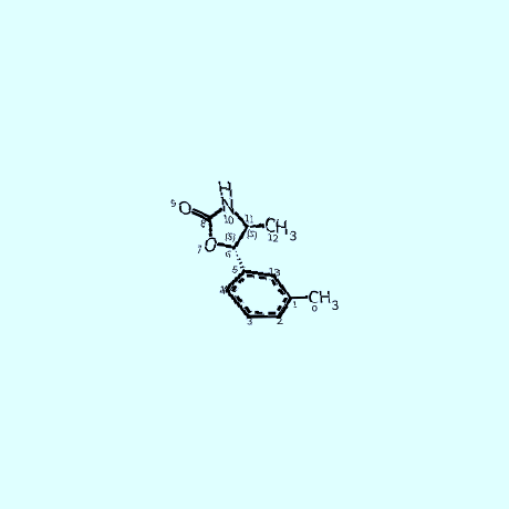 Cc1cccc([C@@H]2OC(=O)N[C@H]2C)c1